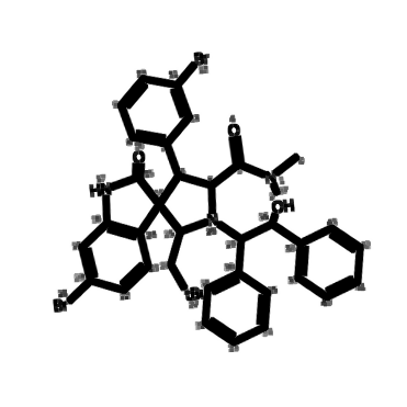 CN(C)C(=O)C1C(c2cccc(Br)c2)C2(C(=O)Nc3cc(Br)ccc32)C(CC(C)(C)C)N1C(c1ccccc1)C(O)c1ccccc1